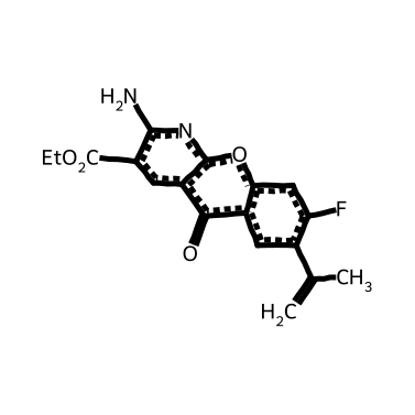 C=C(C)c1cc2c(=O)c3cc(C(=O)OCC)c(N)nc3oc2cc1F